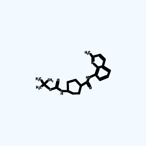 Cc1ccc2cccc(NC(=O)C3CCC(NC(=O)OC(C)(C)C)CC3)c2n1